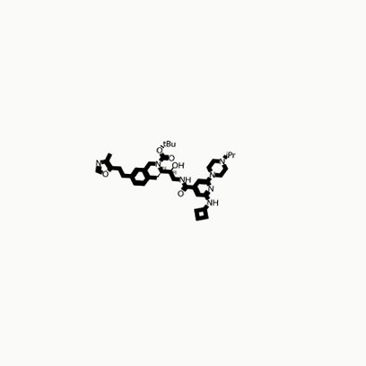 Cc1ncoc1CCc1ccc2c(c1)CN(C(=O)OC(C)(C)C)[C@H]([C@H](O)CNC(=O)c1cc(NC3CCC3)nc(N3CCN(C(C)C)CC3)c1)C2